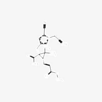 C#CCn1cc(C[C@@]2(C(=O)O)[C@H](C=CC(=O)OC)C2(C)C)cc1C#N